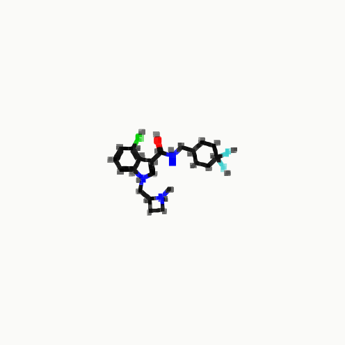 CN1CCC1Cn1cc(C(=O)NCC2CCC(F)(F)CC2)c2c(Cl)cccc21